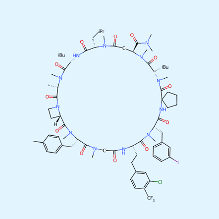 CC[C@H](C)[C@@H]1NC(=O)[C@H](CC(C)C)N(C)C(=O)C[C@@H](C(=O)N(C)C)N(C)C(=O)[C@H]([C@@H](C)CC)N(C)C(=O)C2(CCCC2)NC(=O)[C@H](Cc2cccc(I)c2)N(C)C(=O)[C@H](CCc2ccc(C(F)(F)F)c(Cl)c2)NC(=O)CN(C)C(=O)[C@H](Cc2ccc(C)cc2)N(C)C(=O)[C@@H]2CCN2C(=O)[C@H](C)N(C)C1=O